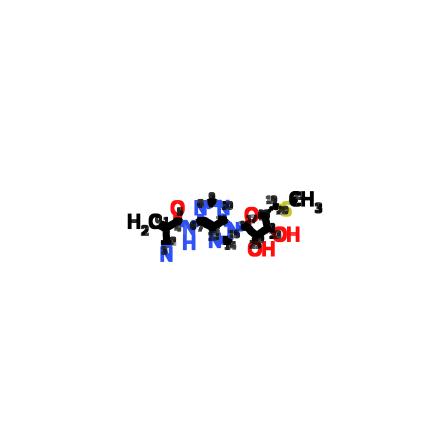 C=C(C#N)C(=O)Nc1ncnc2c1ncn2C1O[C@H](CSC)[C@@H](O)[C@H]1O